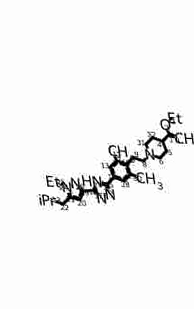 C=C(OCC)C1CCN(CCc2c(C)cc(-c3nnc(-c4cc(CC(C)C)n(CC)n4)[nH]3)cc2C)CC1